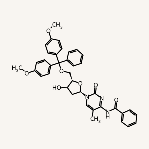 COc1ccc(C(OC[C@H]2O[C@@H](n3cc(C)c(NC(=O)c4ccccc4)nc3=O)C[C@H]2O)(c2ccccc2)c2ccc(OC)cc2)cc1